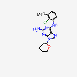 COc1cccc(Nc2nc(N)nc3c2ncn3C2CCCCO2)c1Cl